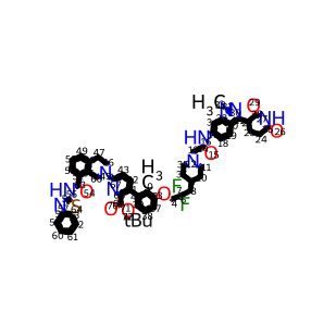 Cc1c(OCC(F)(F)CC2CCN(CC(=O)Nc3ccc4c(C5CCC(=O)NC5=O)nn(C)c4c3)CC2)cccc1-c1ccc(N2CCc3cccc(C(=O)Nc4nc5ccccc5s4)c3C2)nc1C(=O)OC(C)(C)C